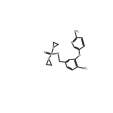 Cc1ccc(Oc2cc(COP(=O)(N3CC3)N3CC3)ccc2[N+](=O)[O-])cn1